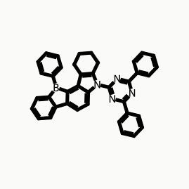 c1ccc(B2c3ccccc3-c3ccc4c(c5c(n4-c4nc(-c6ccccc6)nc(-c6ccccc6)n4)CCCC5)c32)cc1